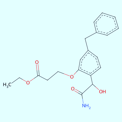 CCOC(=O)CCOc1cc(Cc2ccccc2)ccc1C(O)C(N)=O